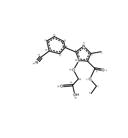 CCOC(=O)c1c(C)nc(-c2cccc(C#N)c2)n1OCC(=O)O